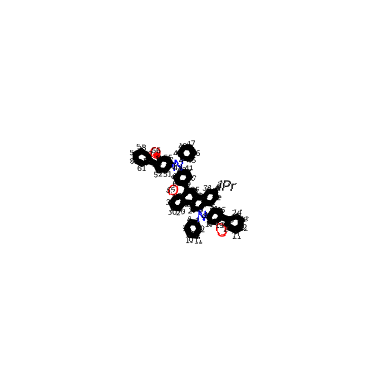 CC(C)c1ccc2c(N(c3ccccc3)c3ccc4c(c3)oc3ccccc34)cc3c4cccc5c4c(cc3c2c1)-c1ccc(N(c2ccccc2)c2ccc3c(c2)oc2ccccc23)cc1O5